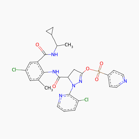 Cc1cc(Cl)cc(C(=O)NC(C)C2CC2)c1NC(=O)C1CC(OS(=O)(=O)c2ccncc2)=NN1c1ncccc1Cl